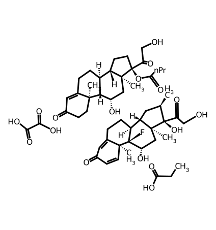 CCC(=O)O.CCCC(=O)O[C@]1(C(=O)CO)CC[C@H]2[C@@H]3CCC4=CC(=O)CC[C@]4(C)[C@H]3[C@@H](O)C[C@@]21C.C[C@@H]1C[C@H]2[C@@H]3CCC4=CC(=O)C=C[C@]4(C)[C@@]3(F)[C@@H](O)C[C@]2(C)[C@@]1(O)C(=O)CO.O=C(O)C(=O)O